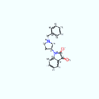 O=C1C(=O)N(C2CCN(Cc3ccccc3)C2)c2ccccc21